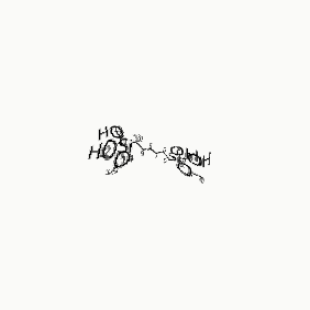 CO[Si](O)(O)CCCCCC[Si](O)(O)OC